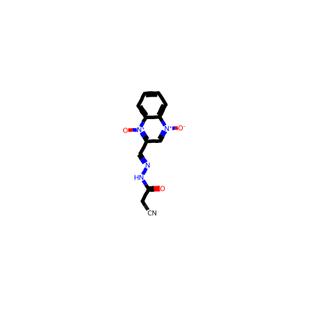 N#CCC(=O)N/N=C/c1c[n+]([O-])c2ccccc2[n+]1[O-]